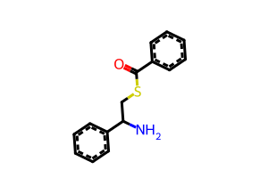 NC(CSC(=O)c1ccccc1)c1ccccc1